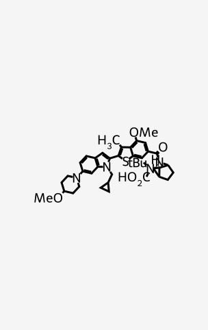 COc1cc(C(=O)N2CC3CCC2[C@@H]3N(C(=O)O)C(C)(C)C)cc2sc(-c3cc4ccc(N5CCC(OC)CC5)cc4n3CC3CC3)c(C)c12